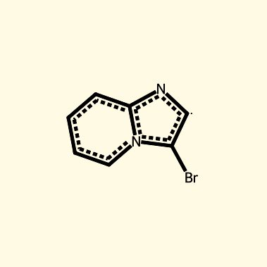 Brc1[c]nc2ccccn12